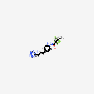 O=C(Nc1ccc(CCCc2nnn[nH]2)cc1)C(F)(F)C(F)(F)C(F)(F)F